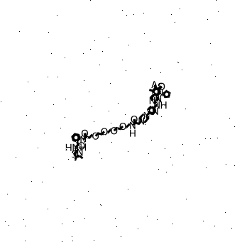 CC(=O)c1c(C)c2cnc(Nc3ccc(N4CCN(CC(=O)NCCOCCOCCOCCOCCC(=O)Nc5ccccc5C(=O)Nc5nc(C)c(C)s5)CC4)cn3)nc2n(C2CCCC2)c1=O